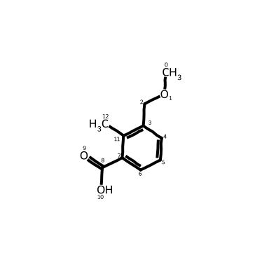 COCc1cccc(C(=O)O)c1C